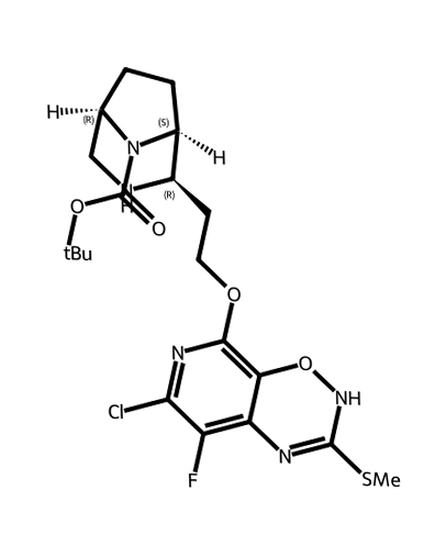 CSC1=Nc2c(F)c(Cl)nc(OCC[C@H]3NC[C@H]4CC[C@@H]3N4C(=O)OC(C)(C)C)c2ON1